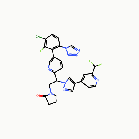 O=C1CCCN1CC(c1ccc(-c2c(-n3cnnn3)ccc(Cl)c2F)cn1)n1cc(-c2ccnc(C(F)F)c2)cn1